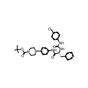 CC(C)(C)OC(=O)N1CCN(c2ccc(NC(=O)[C@@H](Cc3ccccc3)NC(=O)Nc3ccc(Cl)cc3)cc2)CC1